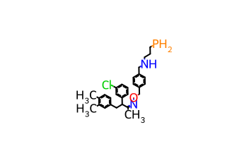 CC(=NOCc1ccc(CNCCCP)cc1)C(Cc1ccc(C)c(C)c1)c1cccc(Cl)c1